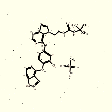 CC(C)(C)NC(=O)NCCn1ccc2ncnc(Nc3ccc(Oc4cccc5sncc45)c(Cl)c3)c21.CS(=O)(=O)O